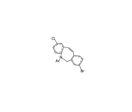 CC(=O)N1Cc2cc(Br)ccc2/C=C\c2cc(Cl)ccc21